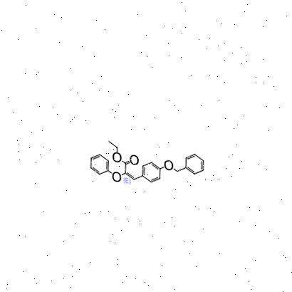 CCOC(=O)/C(=C\c1ccc(OCc2ccccc2)cc1)Oc1ccccc1